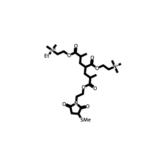 CC[N+](C)(C)CCOC(=O)C(C)CC(CC(C)C(=O)OCCN1C(=O)CC(SC)C1=O)C(=O)OCC[N+](C)(C)C